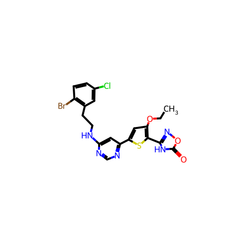 CCOc1cc(-c2cc(NCCc3cc(Cl)ccc3Br)ncn2)sc1-c1noc(=O)[nH]1